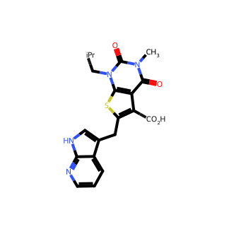 CC(C)Cn1c(=O)n(C)c(=O)c2c(C(=O)O)c(Cc3c[nH]c4ncccc34)sc21